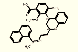 COc1c(C(=O)O)ccc(C)c1[C@@H]1C[C@H](CCN[C@H](C)c2cccc3ccccc23)Oc2ccccc21